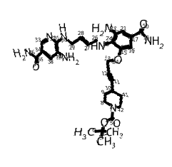 CC(C)(C)OC(=O)N1CCC(C#CCOc2cc(C(N)=O)cc(N)c2NC/C=C/CNc2ncc(C(N)=O)cc2N)CC1